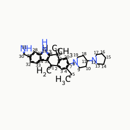 C=C1c2cc(CC)c(N3CCC(N4CCCCC4)CC3)cc2C(C)(C)c2[nH]c3cc(C=N)ccc3c21